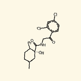 CC1CCC(C(C)C)[C@@](O)(C(=O)NCC(=O)c2ccc(Cl)cc2Cl)C1